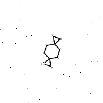 C1CC12CCC1(CC2)CO1